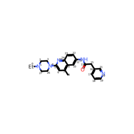 CCN1CCN(c2cc(C)c3cc(NC(=O)Cc4cccnc4)ccc3n2)CC1